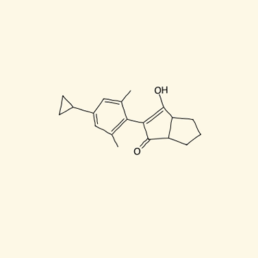 Cc1cc(C2CC2)cc(C)c1C1=C(O)C2CCCC2C1=O